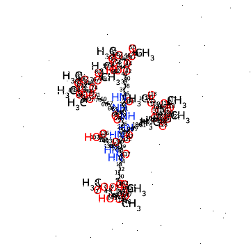 CC(=O)OC[C@H]1O[C@@H](OCCCCCCNC(=O)C(CCC(=O)NC(CCC(=O)NC(CCC(=O)NCCCCCCO[C@H]2O[C@H](COC(C)=O)[C@H](OC(C)=O)[C@H](OC(C)=O)[C@H]2O)C(=O)NCCCCCCO[C@@H]2O[C@H](COC(C)=O)[C@H](OC(C)=O)[C@H](OC(C)=O)[C@H]2OC(C)=O)C(=O)NCCCCCCO[C@@H]2O[C@H](COC(C)=O)[C@H](OC(C)=O)[C@@H](OC(C)=O)[C@H]2OC(C)=O)NC(=O)CCCC(=O)O)[C@@H](OC(C)=O)[C@@H](OC(C)=O)[C@@H]1O